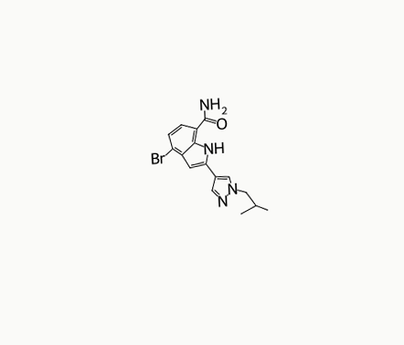 CC(C)Cn1cc(-c2cc3c(Br)ccc(C(N)=O)c3[nH]2)cn1